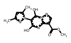 COC(=O)c1cnn2c(O)c(-n3nc(C)cc3C)c(O)nc12